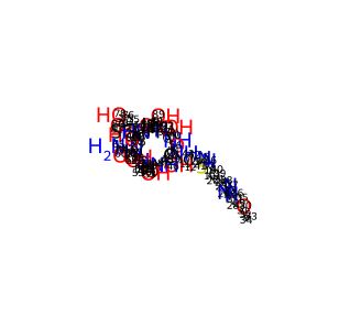 C[C@@H](O)[C@@H]1NC(=O)[C@@H](NC[C@H]2CC[C@H](c3nnc(-c4ccc(-c5cnc(N6CCC(OCC7CC7)CC6)nc5)cc4)s3)CC2)C[C@@H](O)CNC(=O)[C@@H]2[C@@H](O)[C@@H](C)CN2C(=O)[C@H]([C@H](O)CC(N)=O)NC(=O)[C@H]([C@H](O)Cc2ccc(O)c(OS(=O)(=O)O)c2)NC(=O)[C@@H]2C[C@@H](O)CN2C1=O